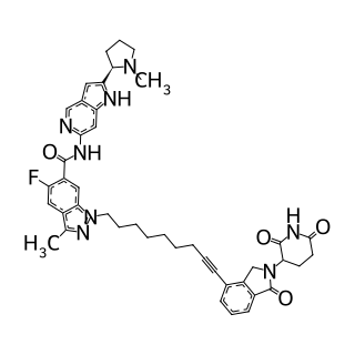 Cc1nn(CCCCCCCC#Cc2cccc3c2CN(C2CCC(=O)NC2=O)C3=O)c2cc(C(=O)Nc3cc4[nH]c([C@H]5CCCN5C)cc4cn3)c(F)cc12